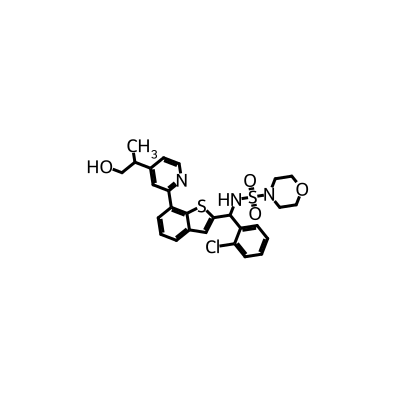 CC(CO)c1ccnc(-c2cccc3cc(C(NS(=O)(=O)N4CCOCC4)c4ccccc4Cl)sc23)c1